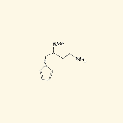 CNC(CCN)C[SH]1C=CC=C1